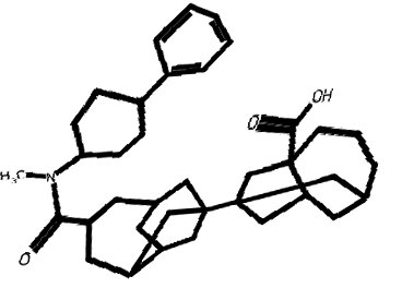 CN(C(=O)C1CC2CC3CC(C45CC6CCCC(C(=O)O)(C4)C(C6)C5)(C2)CC3C1)C1CCC(c2ccccc2)CC1